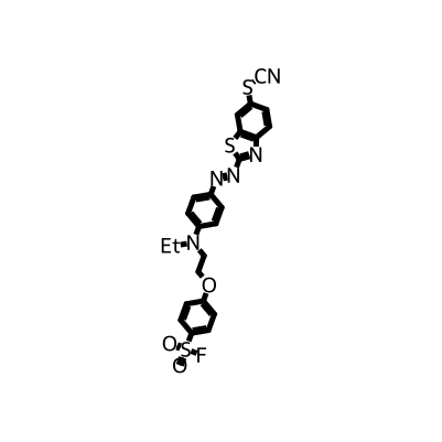 CCN(CCOc1ccc(S(=O)(=O)F)cc1)c1ccc(N=Nc2nc3ccc(SC#N)cc3s2)cc1